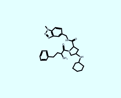 Cn1nnc2cc(CNC(=O)C3CC(NC4CCCCC4)CN3C(=O)C(N)CCc3ccccc3)ccc21